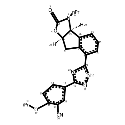 CCCN1C(=O)O[C@@H]2Cc3c(-c4noc(-c5ccc(OC(C)C)c(C#N)c5)n4)cccc3[C@@H]21